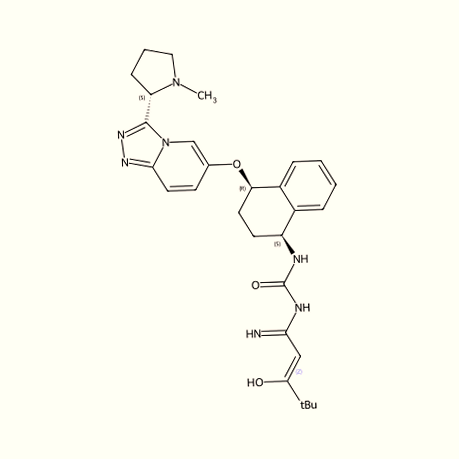 CN1CCC[C@H]1c1nnc2ccc(O[C@@H]3CC[C@H](NC(=O)NC(=N)/C=C(\O)C(C)(C)C)c4ccccc43)cn12